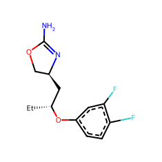 CC[C@H](C[C@H]1COC(N)=N1)Oc1ccc(F)c(F)c1